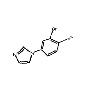 CC(C)c1ccc(-n2ccnc2)cc1Br